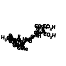 COc1cc2c(cc1-c1cncc(NCCCNC(=O)CCOCCNC(=O)CN3CCN(CC(=O)O)CCN(CC(=O)O)CCN(CC(=O)O)CC3)c1)-c1c(c(C(=O)N3CCOCC3(C)C)nn1-c1cc(F)cc(F)c1)CO2